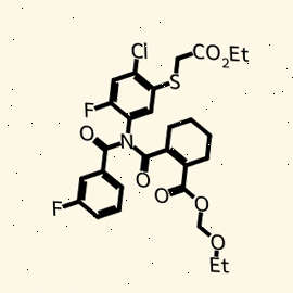 CCOCOC(=O)C1=C(C(=O)N(C(=O)c2cccc(F)c2)c2cc(SCC(=O)OCC)c(Cl)cc2F)CCCC1